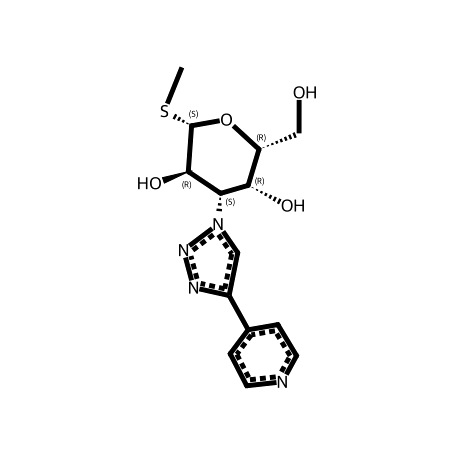 CS[C@@H]1O[C@H](CO)[C@H](O)[C@H](n2cc(-c3ccncc3)nn2)[C@H]1O